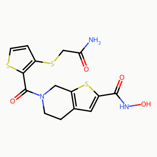 NC(=O)CSc1ccsc1C(=O)N1CCc2cc(C(=O)NO)sc2C1